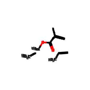 C=C(C)C(=O)OCCCCCC.C=CC(=O)O.CC(=O)O